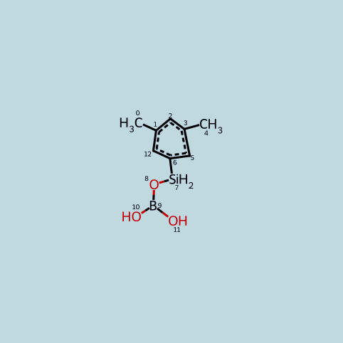 Cc1cc(C)cc([SiH2]OB(O)O)c1